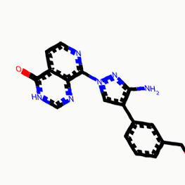 Nc1nn(-c2nccc3c(=O)[nH]cnc23)cc1-c1cccc(CO)c1